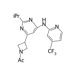 CC(=O)N1CC(c2cc(Nc3cc(C(F)(F)F)ccn3)nc(C(C)C)n2)C1